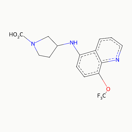 O=C(O)N1CCC(Nc2ccc(OC(F)(F)F)c3ncccc23)C1